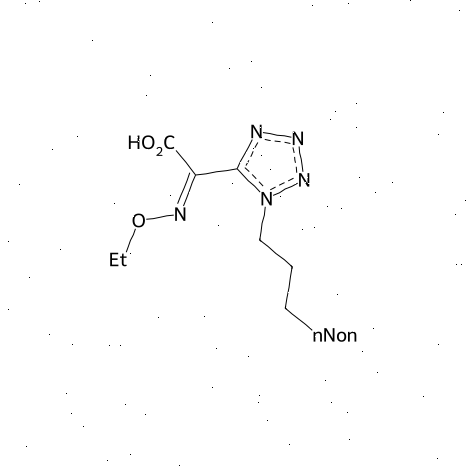 CCCCCCCCCCCCn1nnnc1C(=NOCC)C(=O)O